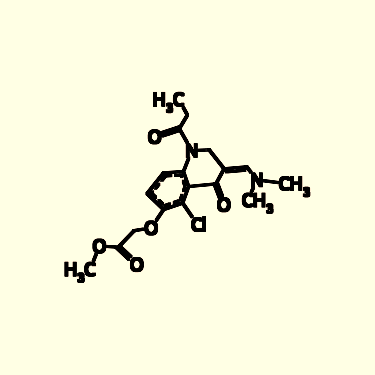 CCC(=O)N1C/C(=C/N(C)C)C(=O)c2c1ccc(OCC(=O)OC)c2Cl